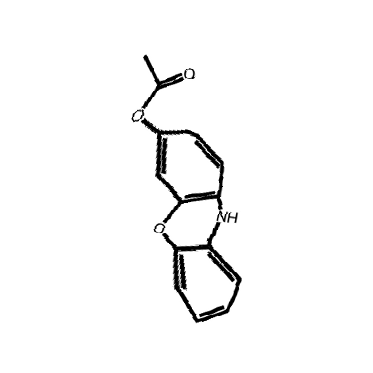 CC(=O)Oc1ccc2c(c1)Oc1ccccc1N2